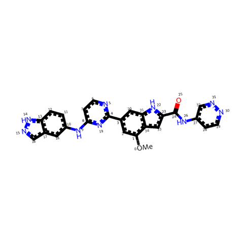 COc1cc(-c2nccc(Nc3ccc4[nH]ncc4c3)n2)cc2[nH]c(C(=O)Nc3ccnnc3)cc12